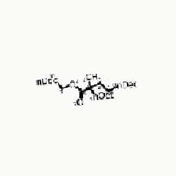 CCCCCCCCCCCCC(C)(CCCCCCCC)C(=O)OCCCCCCCCCCC